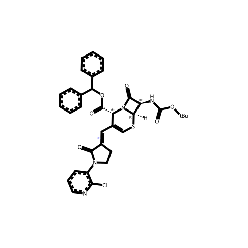 CC(C)(C)OC(=O)N[C@@H]1C(=O)N2[C@@H](C(=O)OC(c3ccccc3)c3ccccc3)C(/C=C3\CCN(c4cccnc4Cl)C3=O)=CS[C@H]12